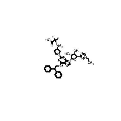 CCn1nnc([C@H]2O[C@@H](n3cnc4c(NCC(c5ccccc5)c5ccccc5)nc(N5CC[C@@H](N)C5)nc43)[C@H](O)[C@@H]2O)n1.O=C(O)C(F)(F)F